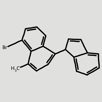 Cc1ccc(C2C=Cc3ccccc32)c2cccc(Br)c12